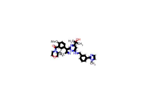 COc1ccc(-c2c(C)nn3c(NCc4cccc(-c5nccn5C)c4)cc(C(C)(C)O)nc23)cc1C(=O)N1CCOC[C@@H]1C